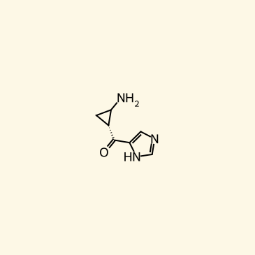 NC1C[C@H]1C(=O)c1cnc[nH]1